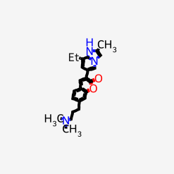 CCC1=CC(c2cc3ccc(CCCN(C)C)cc3oc2=O)=CN2C=C(C)NC12